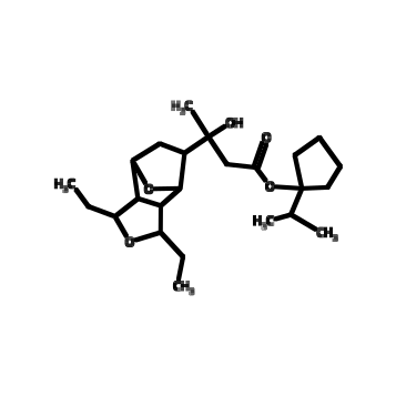 CCC1OC(CC)C2C3OC(CC3C(C)(O)CC(=O)OC3(C(C)C)CCCC3)C12